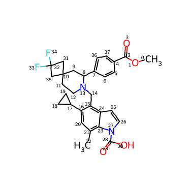 COC(=O)c1ccc(C2CC3(CCN2Cc2c(C4CC4)cc(C)c4c2ccn4C(=O)O)CC(F)(F)C3)cc1